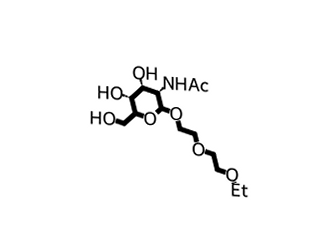 CCOCCOCCOC1OC(CO)[C@H](O)[C@H](O)[C@@H]1NC(C)=O